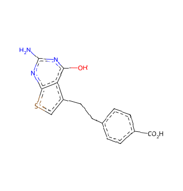 Nc1nc(O)c2c(CCc3ccc(C(=O)O)cc3)csc2n1